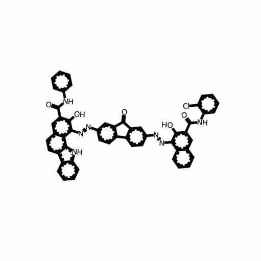 O=C1c2cc(N=Nc3c(O)c(C(=O)Nc4ccccc4Cl)cc4ccccc34)ccc2-c2ccc(N=Nc3c(O)c(C(=O)Nc4ccccc4)cc4ccc5c6ccccc6[nH]c5c34)cc21